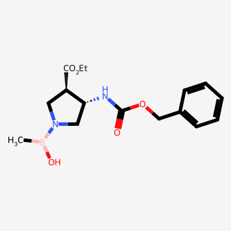 CCOC(=O)[C@@H]1CN(B(C)O)C[C@H]1NC(=O)OCc1ccccc1